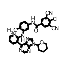 Cc1ccc(NC(=O)c2cc(C#N)c(Cl)c(C#N)c2)cc1Nc1ncccc1-c1ncnc2c1ncn2C1CCCCO1